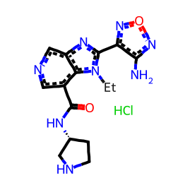 CCn1c(-c2nonc2N)nc2cncc(C(=O)N[C@@H]3CCNC3)c21.Cl